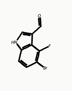 O=Cc1c[nH]c2ccc(Br)c(F)c12